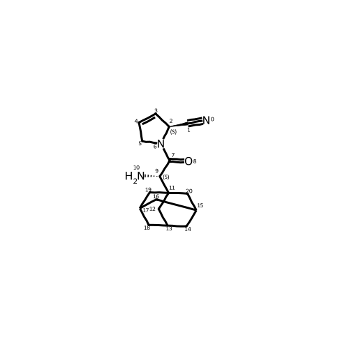 N#C[C@@H]1C=CCN1C(=O)[C@@H](N)C12CC3CC(CC(C3)C1)C2